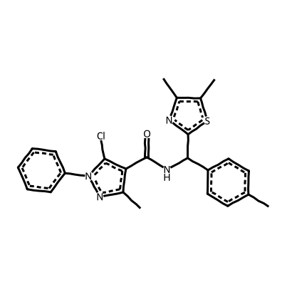 Cc1ccc(C(NC(=O)c2c(C)nn(-c3ccccc3)c2Cl)c2nc(C)c(C)s2)cc1